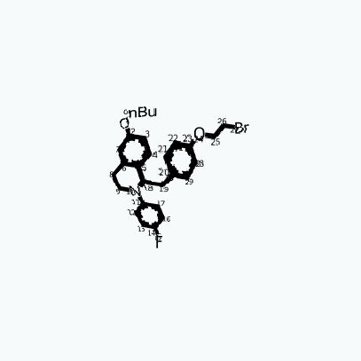 CCCCOc1ccc2c(c1)CCN(c1ccc(F)cc1)C2Cc1ccc(OCCBr)cc1